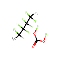 FC(F)(F)C(F)(F)C(F)(F)C(F)(F)C(F)(F)C(F)(F)F.O=C(OF)OF